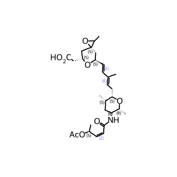 CC(=O)O[C@@H](C)/C=C\C(=O)N[C@@H]1C[C@H](C)[C@H](C/C=C(C)/C=C/[C@@H]2C[C@]3(C[C@@H](CC(=O)O)O2)OC3C)O[C@@H]1C